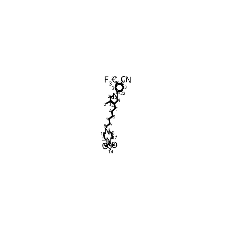 CC1=C(CCCCCCN2CCN(S(C)(=O)=O)CC2)CN(c2ccc(C#N)c(C(F)(F)F)c2)C1